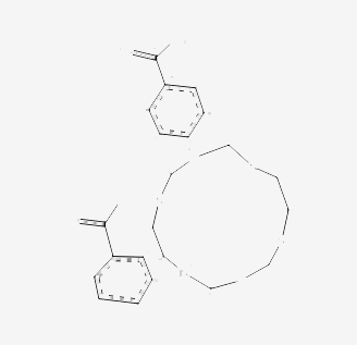 C1CNCCNCCCNCCNC1.O=C([O-])c1ccccc1.O=C([O-])c1ccccc1.[Co+2]